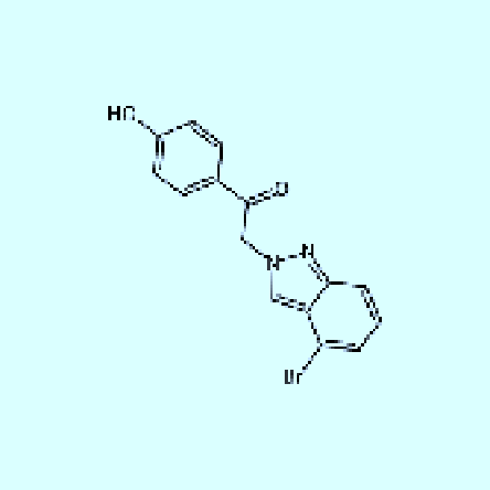 O=C(Cn1cc2c(Br)cccc2n1)c1ccc(O)cc1